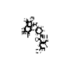 Cc1ncc(Cl)cc1C(=O)N[C@H]1CC[C@H](CN2C(=O)C(C)(F)c3cc(F)c(F)cc32)CC1